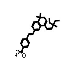 CCC(C)(/C=C\C1=CCC(C)(C)c2ccc(/C=C/c3ccc(C(=O)OC)cc3)cc21)CC